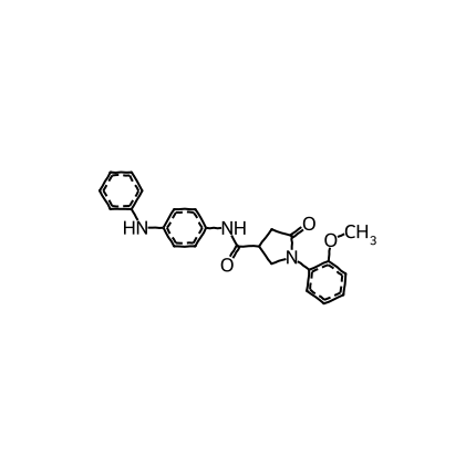 COc1ccccc1N1CC(C(=O)Nc2ccc(Nc3ccccc3)cc2)CC1=O